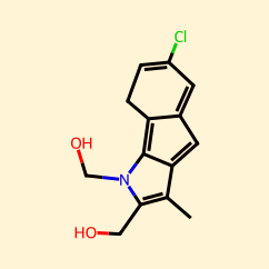 Cc1c(CO)n(CO)c2c1=CC1=CC(Cl)=CCC=21